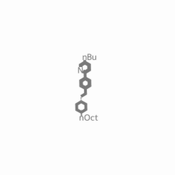 CCCCCCCC[C@H]1CC[C@H](CCc2ccc(-c3ccc(CCCC)cn3)cc2)CC1